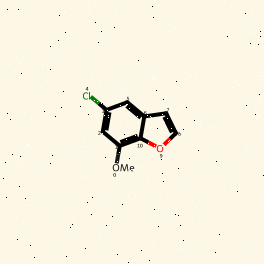 COc1cc(Cl)cc2c[c]oc12